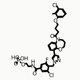 Cc1c(Cl)cccc1OCCCC(=O)N1CCCOc2c(-c3cnn(Cc4c(F)cc(C(=O)NCCOP(=O)(O)O)cc4Cl)c3)cccc21